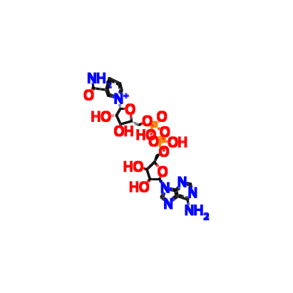 NC(=O)c1ccc[n+]([C@@H]2O[C@H](COP(=O)(O)OP(=O)(O)OC[C@H]3O[C@@H](n4cnc5c(N)ncnc54)[C@@H](O)C3O)C(O)[C@@H]2O)c1